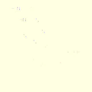 NC(=O)Nc1ncnc2c1ncn2C1OC(COc2ccccc2C(=O)O)C2O[C@H](c3ccccc3)OC21